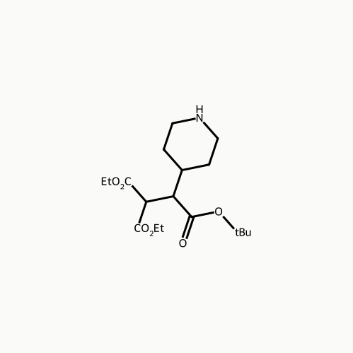 CCOC(=O)C(C(=O)OCC)C(C(=O)OC(C)(C)C)C1CCNCC1